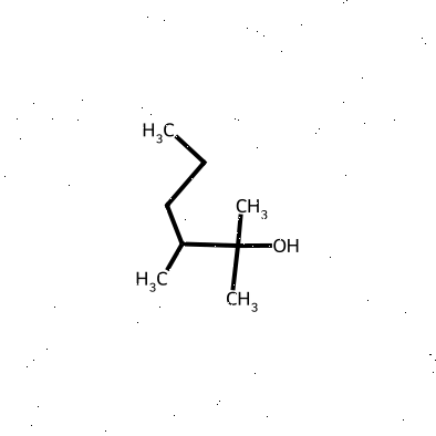 CCCC(C)C(C)(C)O